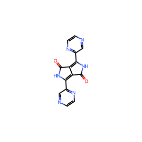 O=C1NC(c2cnccn2)=C2C(=O)NC(c3cnccn3)=C12